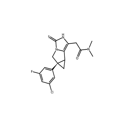 CN(C)C(=O)Cc1[nH]c(=S)n2c1C1C[C@]1(c1cc(F)cc(Cl)c1)C2